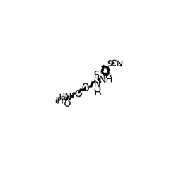 CC(C)C(=O)NCCOCCOCCNC(=S)Nc1ccc(SC#N)cc1